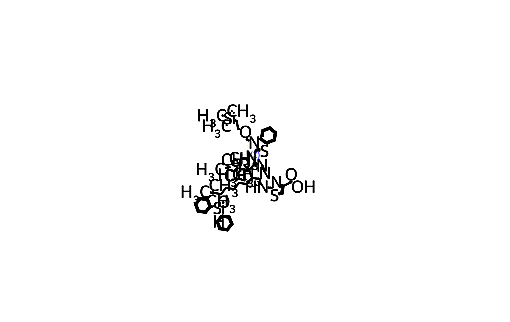 CC(C)(C)C(CCCCC1C(Nc2nc(C(=O)O)cs2)=NN=C(/N=c2\sc3ccccc3n2COCC[Si](C)(C)C)C1(C)O[Si](C)(C)C(C)(C)C)O[SiH](c1ccccc1)c1ccccc1